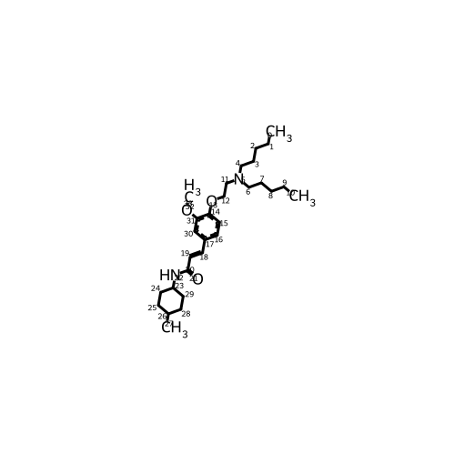 CCCCCN(CCCCC)CCOc1ccc(C=CC(=O)NC2CCC(C)CC2)cc1OC